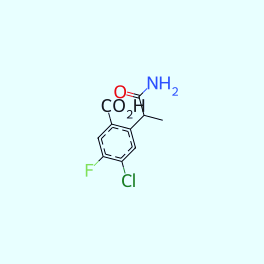 CC(C(N)=O)c1cc(Cl)c(F)cc1C(=O)O